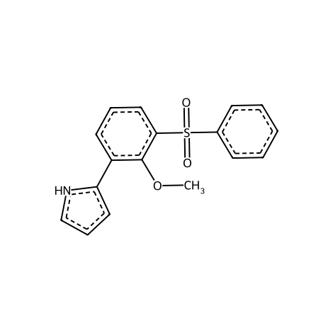 COc1c(-c2ccc[nH]2)cccc1S(=O)(=O)c1ccccc1